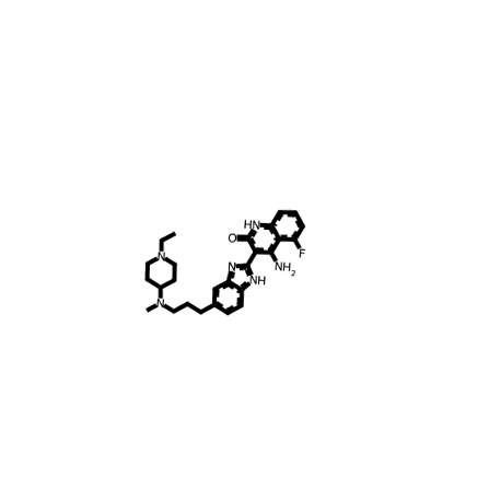 CCN1CCC(N(C)CCCc2ccc3[nH]c(-c4c(N)c5c(F)cccc5[nH]c4=O)nc3c2)CC1